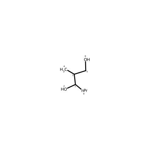 CCCC(O)C(C)CO